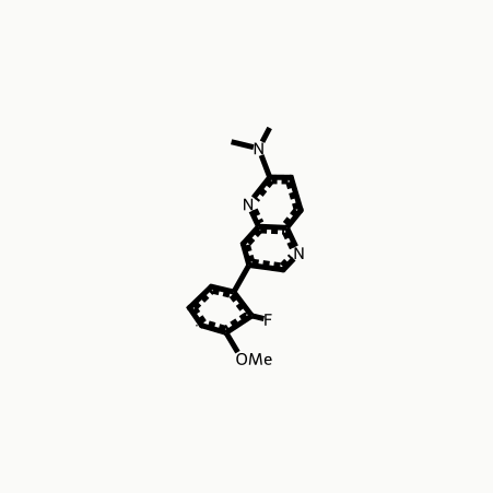 COc1[c]ccc(-c2cnc3ccc(N(C)C)nc3c2)c1F